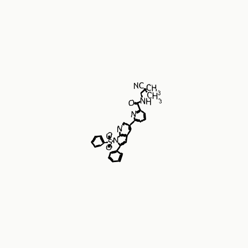 CC(C)(C#N)CNC(=O)c1cccc(-c2cnc3c(c2)cc(-c2ccccc2)n3S(=O)(=O)c2ccccc2)n1